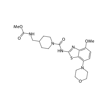 COC(=O)NCC1CCN(C(=O)Nc2nc3c(OC)ccc(N4CCOCC4)c3s2)CC1